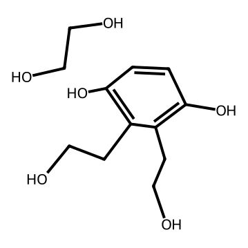 OCCO.OCCc1c(O)ccc(O)c1CCO